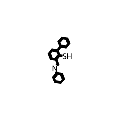 Sc1c(/C=N/c2ccccc2)cccc1-c1ccccc1